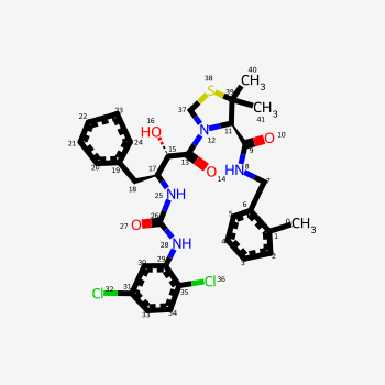 Cc1ccccc1CNC(=O)[C@H]1N(C(=O)[C@@H](O)[C@H](Cc2ccccc2)NC(=O)Nc2cc(Cl)ccc2Cl)CSC1(C)C